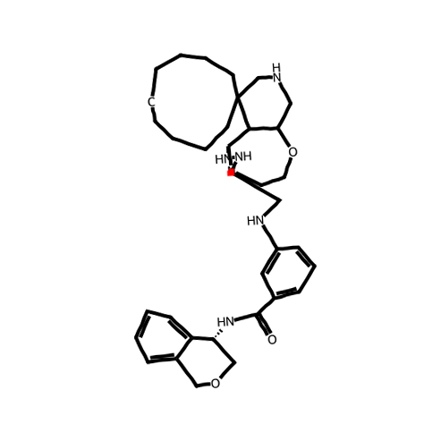 O=C(N[C@@H]1COCc2ccccc21)c1cccc(NCC2NNC3C4C(CNCC45CCCCCCCCC5)OCCN23)c1